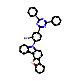 N#Cc1cc(-c2nc(-c3ccccc3)nc(-c3ccccc3)n2)ccc1-n1c2ccccc2c2c3oc4ccccc4c3ccc21